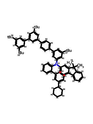 CC(C)(C)c1cc(-c2ccc(-c3cc(N(c4ccc5c(c4)C(C)(C)c4ccccc4-5)c4ccccc4-c4cccc(C5CCCCC5)c4)cc(C(C)(C)C)c3)cc2)cc(-c2cc(C(C)(C)C)cc(C(C)(C)C)c2)c1